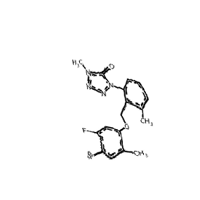 Cc1cc(Br)c(F)cc1OCc1c(C)cccc1-n1nnn(C)c1=O